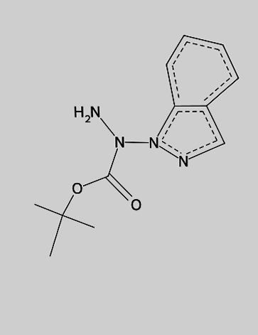 CC(C)(C)OC(=O)N(N)n1ncc2ccccc21